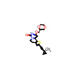 CC1(C#Cc2cc3c(s2)-c2cc(OC[C@@H]4COCCO4)nc(=O)n2CC3)CC1